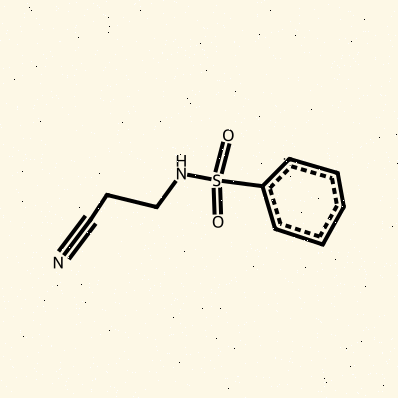 N#CCCNS(=O)(=O)c1[c]cccc1